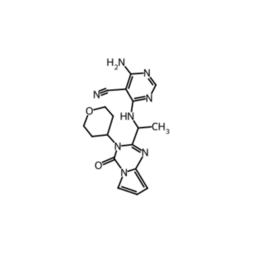 CC(Nc1ncnc(N)c1C#N)c1nc2cccn2c(=O)n1C1CCOCC1